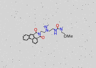 COCCN(C)C(=O)NCCN(CCN1C(=O)c2cccc3c2c(cc2ccccc23)C1=O)N(C)C